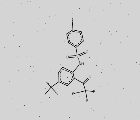 Cc1ccc(S(=O)(=O)Nc2ccc(C(C)(C)C)cc2C(=O)C(F)(F)F)cc1